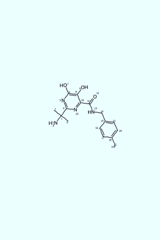 CC(C)(N)c1nc(O)c(O)c(C(=O)NCc2ccc(F)cc2)n1